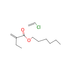 C=C(CC)C(=O)OCCCCCC.C=CCl